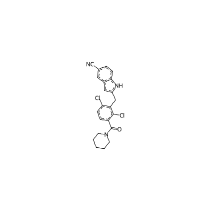 N#Cc1ccc2[nH]c(Cc3c(Cl)ccc(C(=O)N4CCCCC4)c3Cl)cc2c1